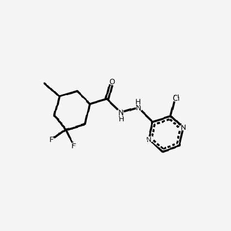 CC1CC(C(=O)NNc2nccnc2Cl)CC(F)(F)C1